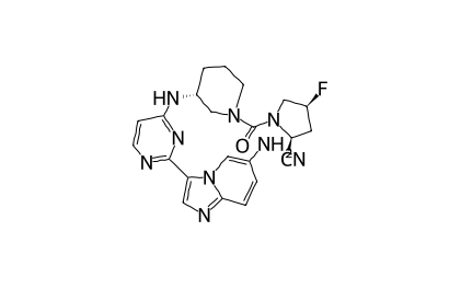 N#C[C@@H]1C[C@H](F)CN1C(=O)N1CCC[C@@H](Nc2ccnc(-c3cnc4ccc(N)cn34)n2)C1